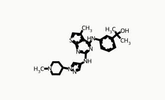 Cc1csc2nc(Nc3cnn(C4CCN(C)CC4)c3)nc(Nc3cccc(C(C)(C)O)c3)c12